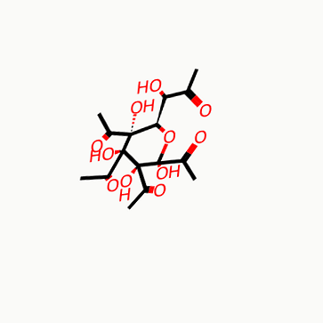 CC(=O)C(O)[C@H]1O[C@@](O)(C(C)=O)[C@](O)(C(C)=O)[C@](O)(C(C)=O)[C@@]1(O)C(C)=O